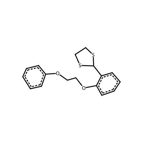 c1ccc(OCCOc2ccccc2C2SCCS2)cc1